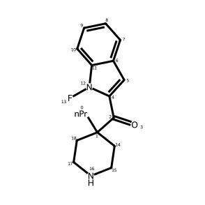 CCCC1(C(=O)c2cc3ccccc3n2F)CCNCC1